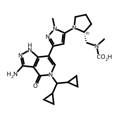 CN(C[C@H]1CCCN1c1cc(-c2cn(C(C3CC3)C3CC3)c(=O)c3c(N)n[nH]c23)nn1C)C(=O)O